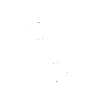 C1OCOC(OOC2OCOCO2)O1